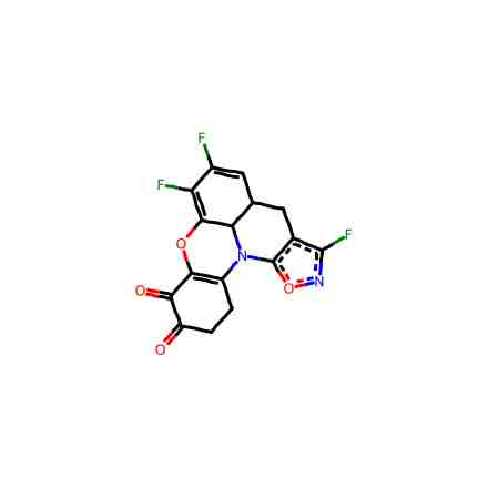 O=C1CCC2=C(OC3=C(F)C(F)=CC4Cc5c(F)noc5N2C34)C1=O